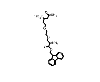 NC(=O)CC(CCOCCOCC(N)C(=O)OCC1c2ccccc2-c2ccccc21)C(=O)O